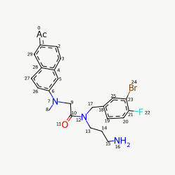 CC(=O)c1ccc2cc(N(C)CC(=O)N(CCCN)Cc3ccc(F)c(Br)c3)ccc2c1